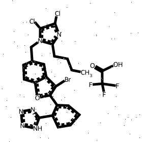 CCCCc1nc(Cl)c(Cl)n1Cc1ccc2oc(-c3ccccc3-c3nnn[nH]3)c(Br)c2c1.O=C(O)C(F)(F)F